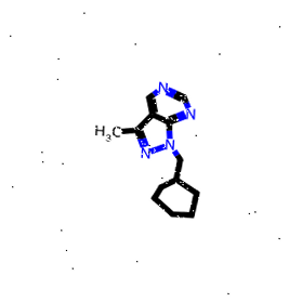 Cc1nn(CC2CCCCC2)c2ncncc12